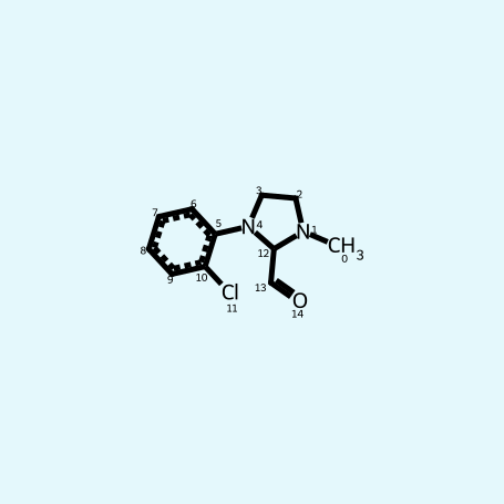 CN1CCN(c2ccccc2Cl)C1C=O